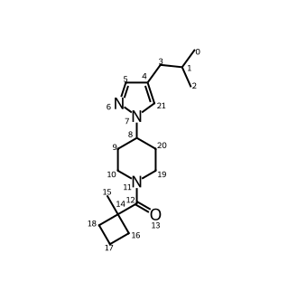 CC(C)Cc1cnn(C2CCN(C(=O)C3(C)CCC3)CC2)c1